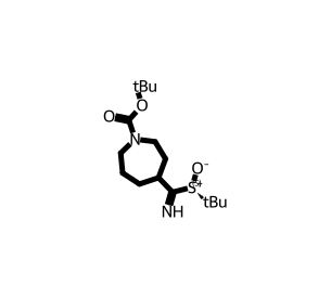 CC(C)(C)OC(=O)N1CCCC(C(=N)[S@+]([O-])C(C)(C)C)CC1